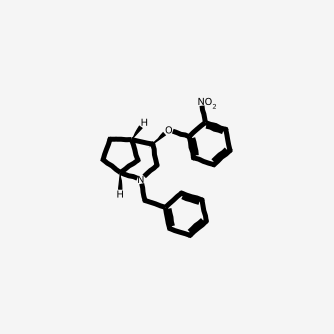 O=[N+]([O-])c1ccccc1O[C@H]1CN(Cc2ccccc2)[C@@H]2CC[C@H]1C2